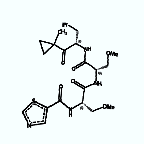 COC[C@H](NC(=O)c1cncs1)C(=O)N[C@@H](COC)C(=O)N[C@@H](CC(C)C)C(=O)C1(C)CC1